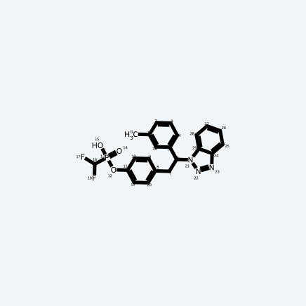 Cc1cccc(C(Cc2ccc(OP(=O)(O)C(F)F)cc2)n2nnc3ccccc32)c1